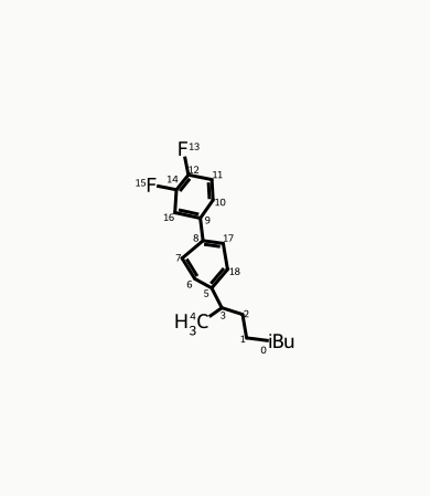 CCC(C)CCC(C)c1ccc(-c2ccc(F)c(F)c2)cc1